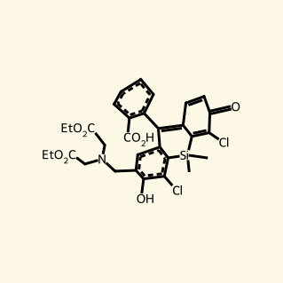 CCOC(=O)CN(CC(=O)OCC)Cc1cc2c(c(Cl)c1O)[Si](C)(C)C1=C(Cl)C(=O)C=CC1=C2c1ccccc1C(=O)O